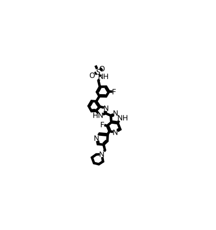 CS(=O)(=O)NCc1cc(F)cc(-c2cccc3[nH]c(-c4n[nH]c5cnc(-c6cncc(CN7CCCCC7)c6)c(F)c45)nc23)c1